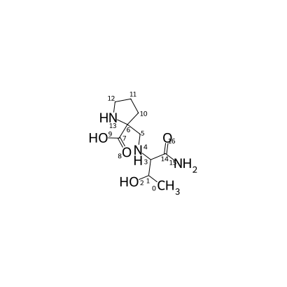 CC(O)C(NCC1(C(=O)O)CCCN1)C(N)=O